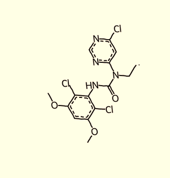 [CH2]CN(C(=O)Nc1c(Cl)c(OC)cc(OC)c1Cl)c1cc(Cl)ncn1